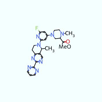 COC(=O)C1CN(c2cc(F)nc(N3CCc4nc(-c5ncccn5)ncc4C3C)c2)CCN1C